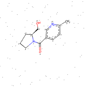 Cc1ccc(C(=O)N2CCC[C@H]2CO)cn1